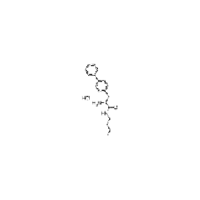 CCCCNC(=O)[C@@H](N)Cc1ccc(-c2ccccc2)cc1.Cl